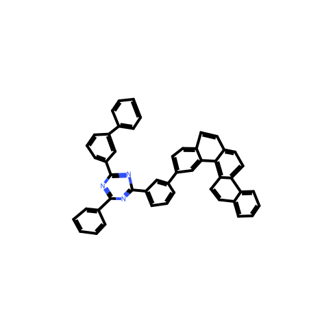 c1ccc(-c2cccc(-c3nc(-c4ccccc4)nc(-c4cccc(-c5ccc6ccc7ccc8c9ccccc9ccc8c7c6c5)c4)n3)c2)cc1